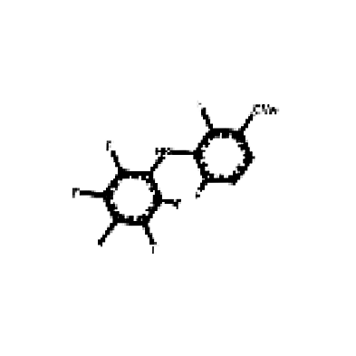 COc1ccc(F)c(Bc2c(F)c(F)c(C)c(F)c2F)c1F